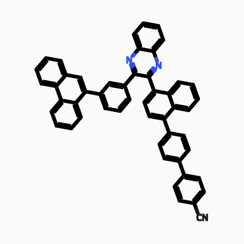 N#Cc1ccc(-c2ccc(-c3ccc(-c4nc5ccccc5nc4-c4cccc(-c5cc6ccccc6c6ccccc56)c4)c4ccccc34)cc2)cc1